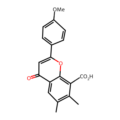 COc1ccc(-c2cc(=O)c3cc(C)c(C)c(C(=O)O)c3o2)cc1